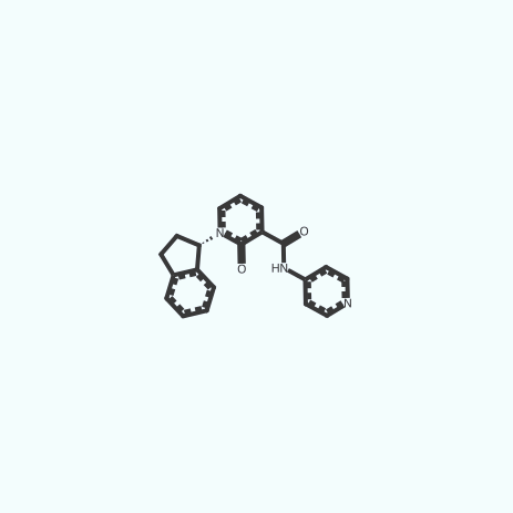 O=C(Nc1ccncc1)c1cccn([C@H]2CCc3ccccc32)c1=O